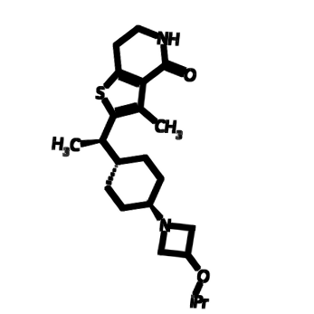 Cc1c([C@H](C)[C@H]2CC[C@H](N3CC(OC(C)C)C3)CC2)sc2c1C(=O)NCC2